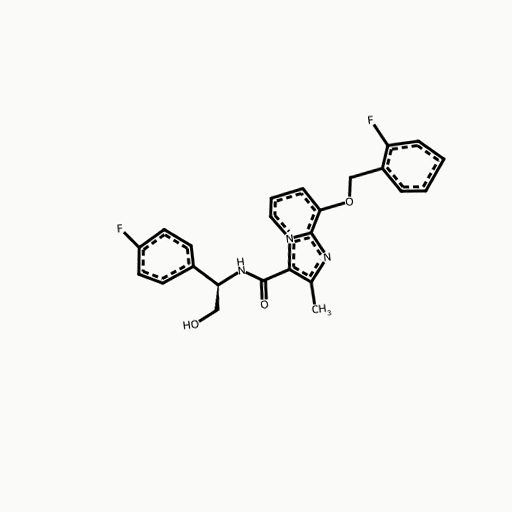 Cc1nc2c(OCc3ccccc3F)cccn2c1C(=O)N[C@@H](CO)c1ccc(F)cc1